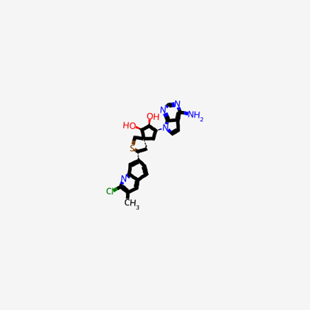 Cc1cc2ccc([C@H]3C[C@@]4(CS3)C[C@@H](n3ccc5c(N)ncnc53)[C@H](O)[C@@H]4O)cc2nc1Cl